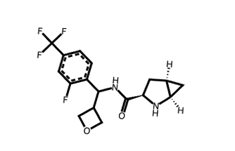 O=C(NC(c1ccc(C(F)(F)F)cc1F)C1COC1)[C@H]1C[C@H]2C[C@H]2N1